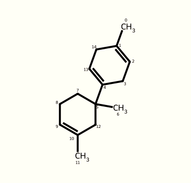 CC1=CCC(C2(C)CCC=C(C)C2)=CC1